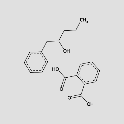 CCCC(O)Cc1ccccc1.O=C(O)c1ccccc1C(=O)O